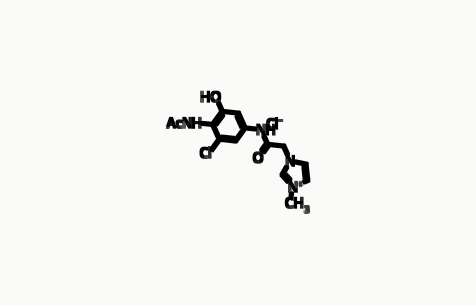 CC(=O)Nc1c(O)cc(NC(=O)Cn2cc[n+](C)c2)cc1Cl.[Cl-]